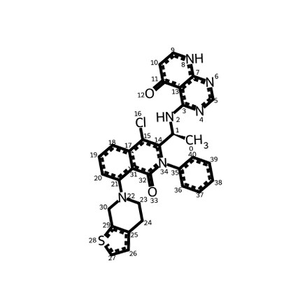 C[C@H](Nc1ncnc2[nH]ccc(=O)c12)c1c(Cl)c2cccc(N3CCc4ccsc4C3)c2c(=O)n1-c1ccccc1